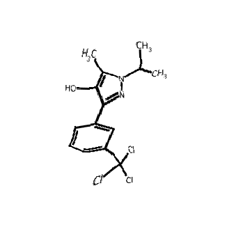 Cc1c(O)c(-c2cccc(C(Cl)(Cl)Cl)c2)nn1C(C)C